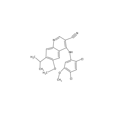 COc1cc(Nc2c(C#N)cnc3cc(C(C)C)c(OC)cc23)c(Cl)cc1Cl